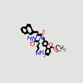 COC(=O)c1ccccc1-c1ccc(CN2C(=O)[C@H](Cc3ccc4ccccc4c3)NC(=O)[C@@H]2CCCCN)cc1